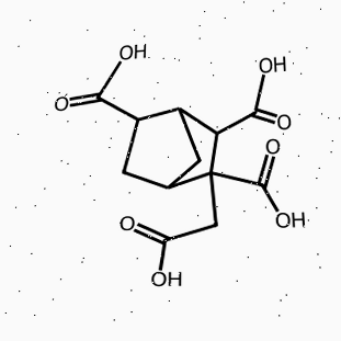 O=C(O)CC1(C(=O)O)C2CC(C(=O)O)C(C2)C1C(=O)O